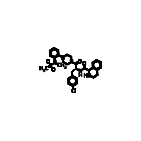 CN(c1ccccc1N1CCN(C(=O)[C@@H](Cc2ccc(Cl)cc2)NC(=O)C2N[CH]Cc3ccccc32)CC1)S(C)(=O)=O